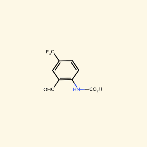 O=Cc1cc(C(F)(F)F)ccc1NC(=O)O